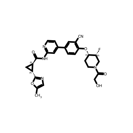 Cc1cnc([C@@H]2C[C@H]2C(=O)Nc2cc(-c3ccc(O[C@H]4CCN(C(=O)CO)C[C@H]4F)c(C#N)c3)ccn2)o1